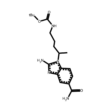 CC(CCCNC(=O)OC(C)(C)C)n1c(N)nc2cc(C(N)=O)ccc21